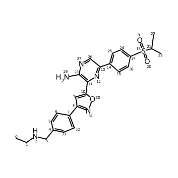 CCNCc1ccc(-c2cc(-c3nc(-c4ccc(S(=O)(=O)C(C)C)cc4)cnc3N)on2)cc1